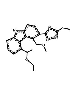 CCOC(C)c1cccc2[nH]c3cnc(-c4nc(CC)no4)c(COC)c3c12